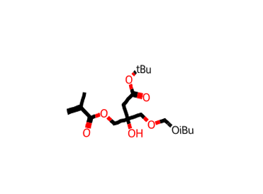 C=C(C)C(=O)OCC(O)(COCOCC(C)C)CC(=O)OC(C)(C)C